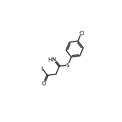 N=C(CC(=O)I)Sc1ccc(Cl)cc1